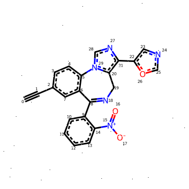 C#Cc1ccc2c(c1)C(c1ccccc1[N+](=O)[O-])=NCc1c(-c3cnco3)ncn1-2